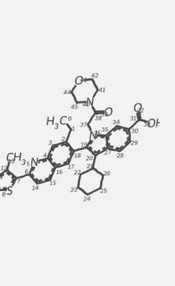 CCc1cc2nc(-c3sc(C)nc3C)ccc2cc1-c1c(C2CCCCC2)c2ccc(C(=O)O)cc2n1CC(=O)N1CCOCC1